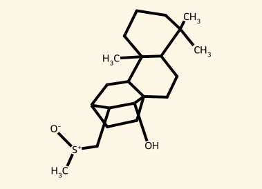 C[S+]([O-])CC1C2CCC3(CCC4C(C)(C)CCCC4(C)C3C2)C1O